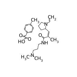 C=CN1CCCC1C=C(C)C(=O)NCCCN(C)C.Cc1ccc(S(=O)(=O)O)cc1